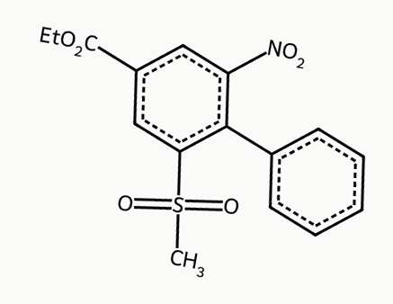 CCOC(=O)c1cc([N+](=O)[O-])c(-c2ccccc2)c(S(C)(=O)=O)c1